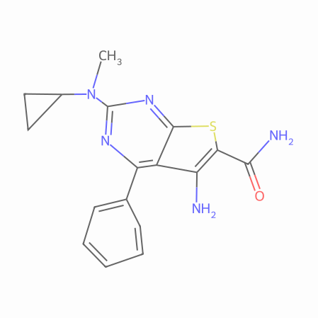 CN(c1nc(-c2ccccc2)c2c(N)c(C(N)=O)sc2n1)C1CC1